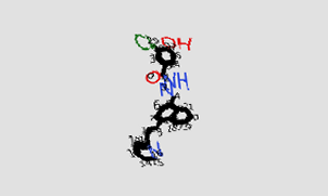 O=C(N/N=C/c1ccc(/C=C/c2ccccn2)c2ccccc12)c1ccc(O)c(Cl)c1